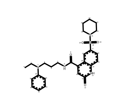 CCN(CCCNC(=O)c1cc(=O)[nH]c2ccc(S(=O)(=O)N3CCCCC3)cc12)c1ccccc1